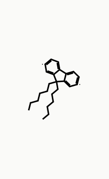 CCCCCCC1(CCCCCC)c2c[c]ccc2-c2cc[c]cc21